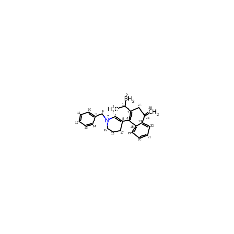 BC(C)C1=C(C2=CN(Cc3ccccc3)CCC2)c2ccccc2C(=C)C1